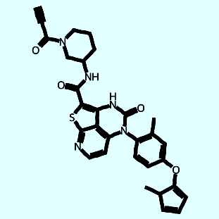 C#CC(=O)N1CCCC(NC(=O)c2sc3nccc4c3c2NC(=O)N4c2ccc(OC3=CC=CC3C)cc2C)C1